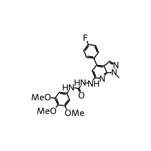 COc1cc(NC(=O)NNc2cc(-c3ccc(F)cc3)c3cnn(C)c3n2)cc(OC)c1OC